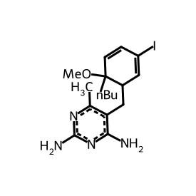 CCCCC1(OC)C=CC(I)=CC1Cc1c(C)nc(N)nc1N